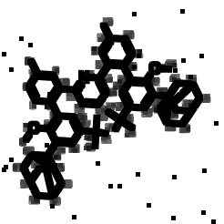 COc1c(-c2ccc(C)cc2-c2cccc(-c3cc(C)ccc3-c3cc(C(C)(C)C)cc(C45CC6CC(CC(C6)C4)C5)c3OC)n2)cc(C(C)(C)C)cc1C1C2CC3CC(C2)CC1C3